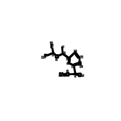 COC(=O)c1cc(C(C)OC(F)F)ccn1